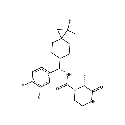 C[C@@H]1C(=O)NCCN1C(=O)N[C@H](c1ccc(F)c(Cl)c1)C1CCC2(CC1)CC2(F)F